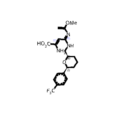 C=C(/N=C(\C=C(/N)C(=O)O)NC[C@H]1CCC[C@@H](c2ccc(C(F)(F)F)cc2)O1)OC